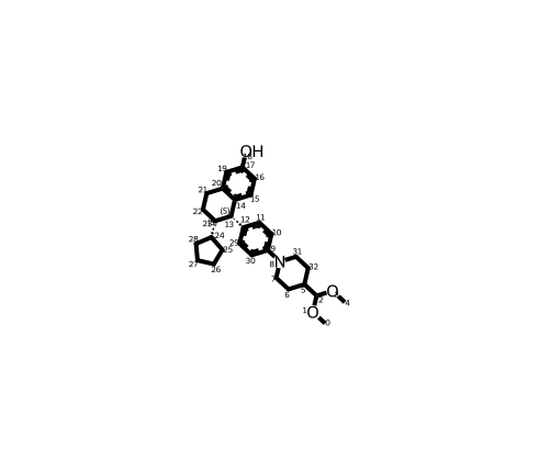 COC(OC)C1CCN(c2ccc([C@H]3c4ccc(O)cc4CC[C@H]3C3CCCC3)cc2)CC1